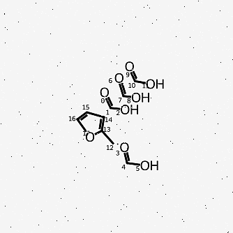 O=CO.O=CO.O=CO.O=CO.[CH2]c1ccco1